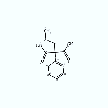 CCCC(C(=O)O)(C(=O)O)c1ccccc1